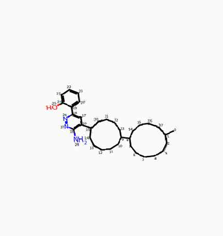 CC1CCCCCCC(C2CCCCCC(c3cc(-c4ccccc4O)nnc3N)CCCC2)CCCC1